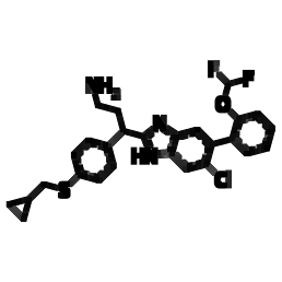 NCCC(c1ccc(SCC2CC2)cc1)c1nc2cc(-c3ccccc3OC(F)F)c(Cl)cc2[nH]1